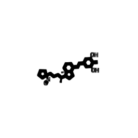 C=C1[C@H](O)CC(=C/C=C2\CCC[C@@]3(C)C2CCC3[C@@H](C)CCCC2(N=O)CCCC2)C[C@H]1O